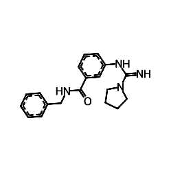 N=C(Nc1cccc(C(=O)NCc2ccccc2)c1)N1CCCC1